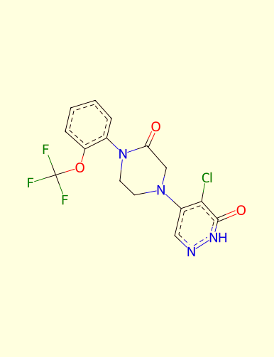 O=C1CN(c2cn[nH]c(=O)c2Cl)CCN1c1ccccc1OC(F)(F)F